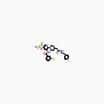 CS(=O)(=O)c1cnc(N2CCC(CC(=O)NCCc3ccc(F)cc3)CC2)c(NC(=O)c2cccc(Cl)c2)c1